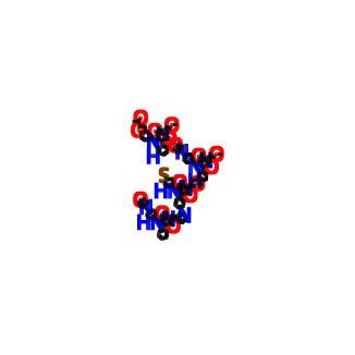 COCCN1C(=O)C(Nc2ccc(N3CCOCC3)cc2)=C(c2ccccc2)C1=O.COCCN1C(=O)C(Nc2ccc(SC)cc2)=C(c2ccccc2)C1=O.COCCN1C(=O)C(Nc2ccc3oc(C(C)=O)cc3c2)=C(c2ccccc2)C1=O.O=C1C(Nc2ccc(N3CCOCC3)cc2)=C(c2ccccc2)C(=O)N1Cc1cccnc1